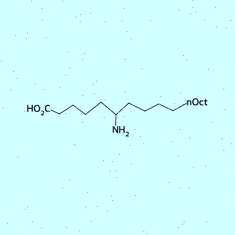 CCCCCCCCCCCCC(N)CCCCC(=O)O